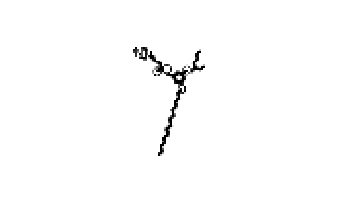 CCCCCCCCCCCCCCCOc1cc(COC(=O)CCCN2CCN(C)CC2)cc(OCC(CC)CCCC)c1